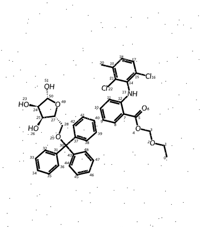 CCOCOC(=O)c1ccccc1Nc1c(Cl)ccc(C)c1Cl.O[C@@H]1[C@H](O)[C@@H](COC(c2ccccc2)(c2ccccc2)c2ccccc2)O[C@H]1O